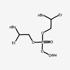 CCCCC(CC)COP(=O)(OCC(CC)CCCC)OOC